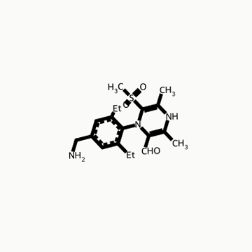 CCc1cc(CN)cc(CC)c1N1C(C=O)=C(C)NC(C)=C1S(C)(=O)=O